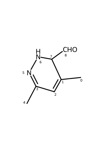 CC1=CC(C)=NNC1C=O